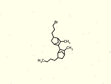 CCCCC1CC2CC1C(C1C3CC(CCCBr)C(C3)C1C)C2C